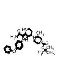 C[C@H]1CN(C(=O)OC(C)(C)C)CCN1[C@H]1CCNc2c1nn(-c1ccc(Oc3ccccc3)cc1)c2C(N)=O